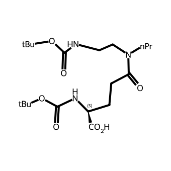 CCCN(CCNC(=O)OC(C)(C)C)C(=O)CC[C@H](NC(=O)OC(C)(C)C)C(=O)O